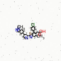 Cc1cc2nc(-c3cc(-c4ccc5c(cnn5C)c4)ccn3)sc2c(-c2ccc(Cl)cc2)c1CC(=O)O